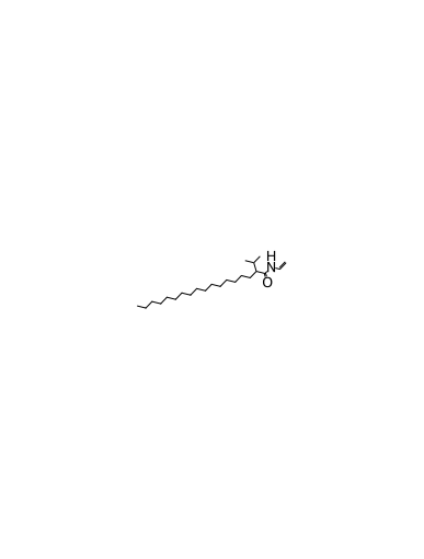 C=CNC(=O)C(CCCCCCCCCCCCCCCC)C(C)C